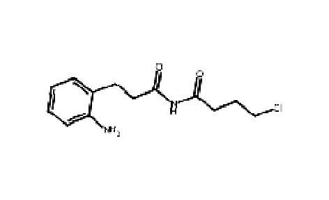 Nc1ccccc1CCC(=O)NC(=O)CCCCl